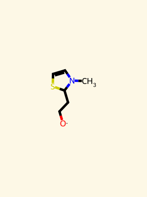 CN1C=CSC1CC[O]